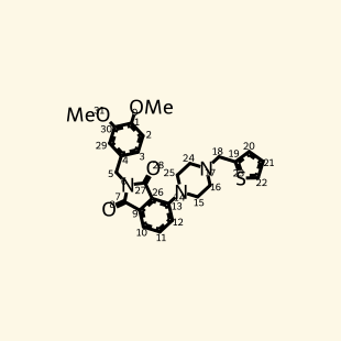 COc1ccc(CN2C(=O)c3cccc(N4CCN(Cc5cccs5)CC4)c3C2=O)cc1OC